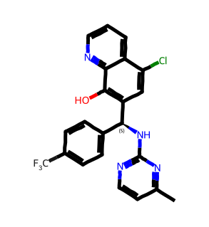 Cc1ccnc(N[C@@H](c2ccc(C(F)(F)F)cc2)c2cc(Cl)c3cccnc3c2O)n1